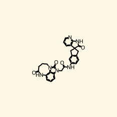 O=C(Cn1c(=O)n2c3c(cccc31)NC(=O)CCC2)Nc1ccc2c(c1)CC1(C2)C(=O)Nc2ncccc21